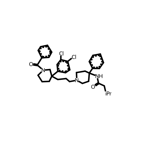 CC(C)CC(=O)NC1(c2ccccc2)CCN(CCCC2(c3ccc(Cl)c(Cl)c3)CCCN(C(=O)c3ccccc3)C2)CC1